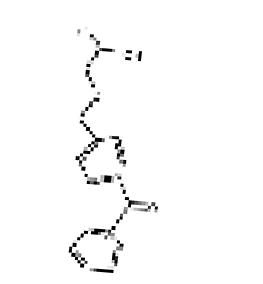 CC(C)C(O)COCc1ccc(C(=O)c2ccccc2)cc1